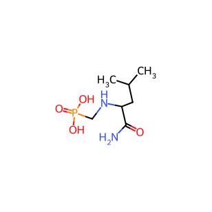 CC(C)CC(NCP(=O)(O)O)C(N)=O